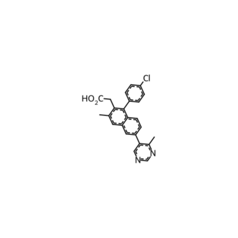 Cc1cc2cc(-c3cncnc3C)ccc2c(-c2ccc(Cl)cc2)c1CC(=O)O